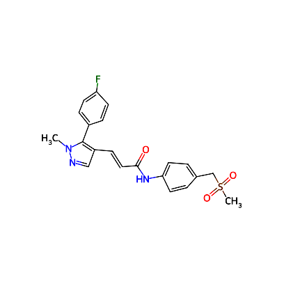 Cn1ncc(/C=C/C(=O)Nc2ccc(CS(C)(=O)=O)cc2)c1-c1ccc(F)cc1